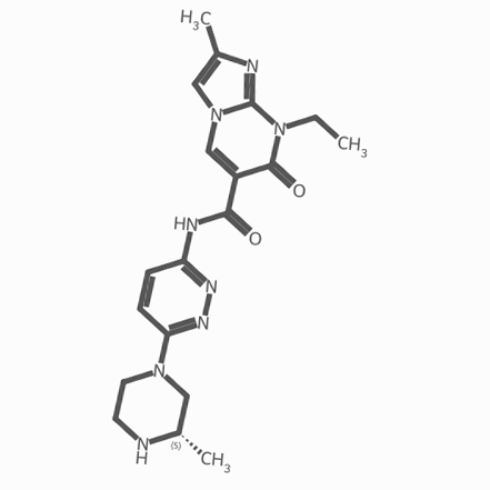 CCn1c(=O)c(C(=O)Nc2ccc(N3CCN[C@@H](C)C3)nn2)cn2cc(C)nc12